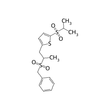 CC(Cc1ccc(S(=O)(=O)C(C)C)s1)S(=O)(=O)Cc1ccccc1